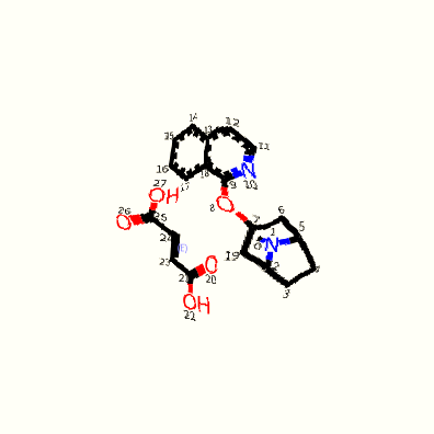 CN1C2CCC1CC(Oc1nccc3ccccc13)C2.O=C(O)/C=C/C(=O)O